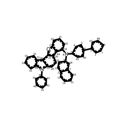 c1ccc(-c2ccc(N(c3ccc4ccccc4c3)c3cccc4oc5c(ccc6c5c5ccccc5n6-c5ccccc5)c34)cc2)cc1